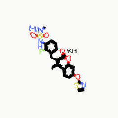 CNS(=O)(=O)Nc1cccc(Cc2c(C)c3ccc(Oc4nccs4)cc3oc2=O)c1F.[KH]